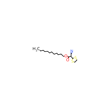 CCCCCCCCCCCCOC(=O)C(C#N)C1SCCS1